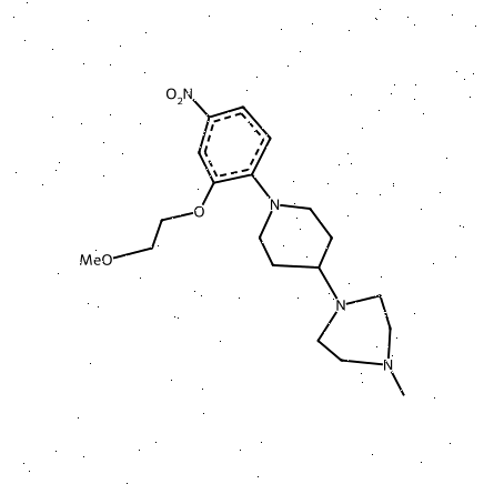 COCCOc1cc([N+](=O)[O-])ccc1N1CCC(N2CCN(C)CC2)CC1